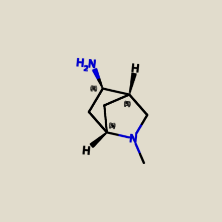 CN1C[C@@H]2C[C@H]1C[C@H]2N